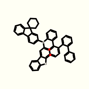 c1ccc(-c2ccccc2-c2ccccc2-c2ccccc2N(c2ccc3c(c2)C2(CCCCC2)c2ccccc2-3)c2ccc3oc4ccccc4c3c2)cc1